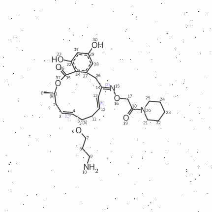 C[C@@H]1C/C=C/[C@@H](OCCCN)C/C=C/C(=N\OCC(=O)N2CCCCC2)Cc2cc(O)cc(O)c2C(=O)O1